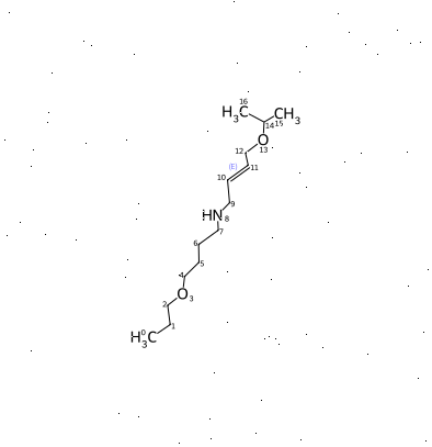 CCCOCCCCNC/C=C/COC(C)C